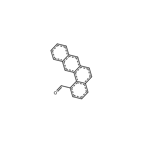 O=Cc1cccc2ccc3cc4ccccc4cc3c12